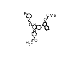 C=CC(=O)N1CCN(c2nc(OCCN3CCC[C@@H](F)C3)nc3c2CCN(c2cc(OCOC)cc4ccccc24)C3)CC1